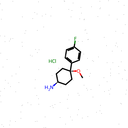 CO[C@]1(c2ccc(F)cc2)CC[C@H](N)CC1.Cl